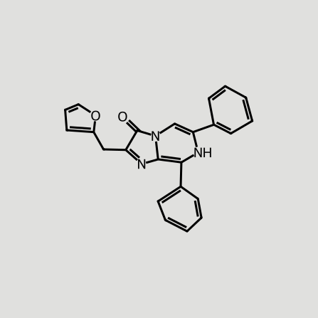 O=c1c(Cc2ccco2)nc2c(-c3ccccc3)[nH]c(-c3ccccc3)cn1-2